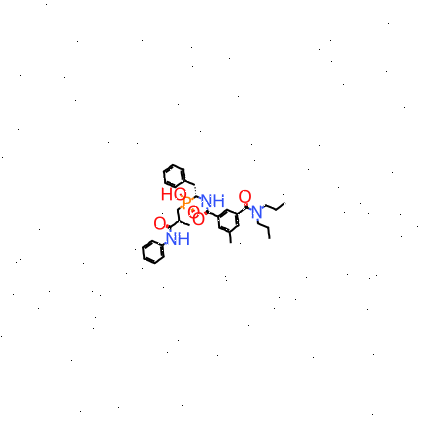 CCCN(CCC)C(=O)c1cc(C)cc(C(=O)N[C@@H](Cc2ccccc2)P(=O)(O)CC(C)C(=O)Nc2ccccc2)c1